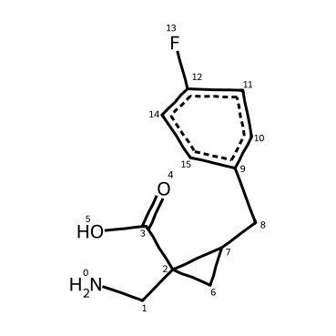 NCC1(C(=O)O)CC1Cc1ccc(F)cc1